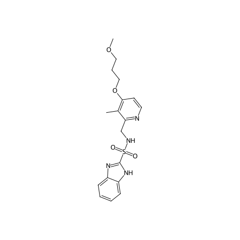 COCCCOc1ccnc(CNS(=O)(=O)c2nc3ccccc3[nH]2)c1C